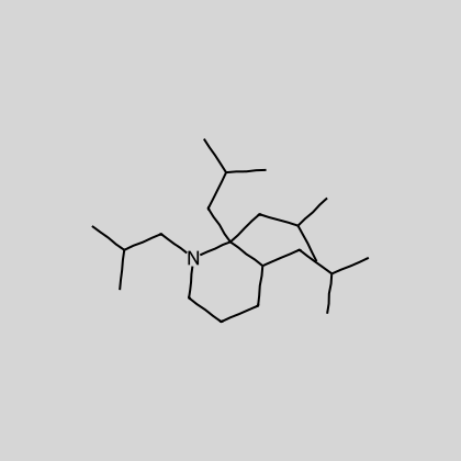 CC(C)CC1CCCN(CC(C)C)C1(CC(C)C)CC(C)C